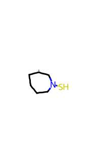 SN1C[CH]CCCC1